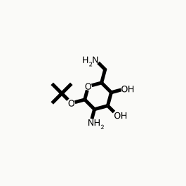 CC(C)(C)OC1OC(CN)C(O)C(O)C1N